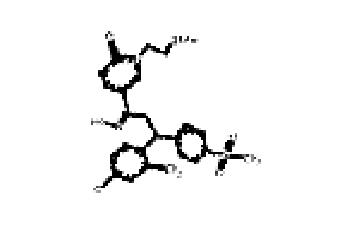 COCCn1cc(/C(CC(c2ccc(S(C)(=O)=O)cc2)c2ccc(Cl)cc2C)=N\O)ccc1=O